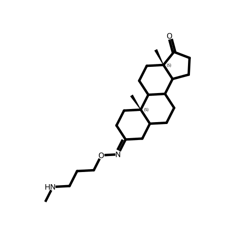 CNCCCON=C1CC[C@@]2(C)C(CCC3C2CC[C@]2(C)C(=O)CCC32)C1